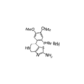 Br.Br.COc1cc(F)c(C2CNCc3nc(N)sc32)cc1OC